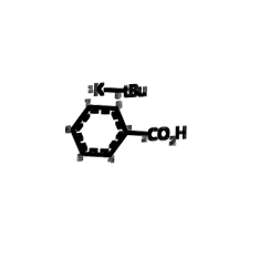 C[C](C)(C)[K].O=C(O)c1ccccc1